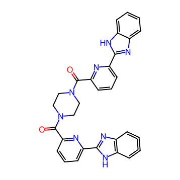 O=C(c1cccc(-c2nc3c([nH]2)C=C=C=C3)n1)N1CCN(C(=O)c2cccc(-c3nc4ccccc4[nH]3)n2)CC1